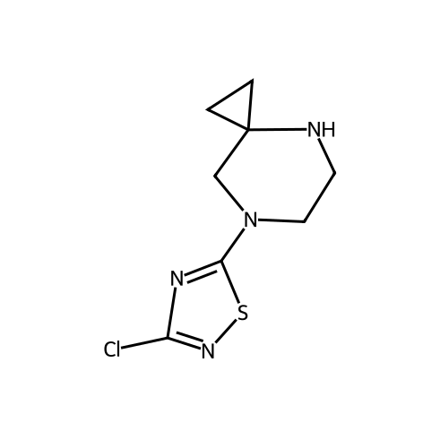 Clc1nsc(N2CCNC3(CC3)C2)n1